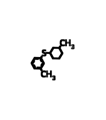 Cc1cccc(SC2CCCC(C)C2)c1